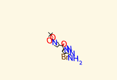 CC(C)(C)OC(=O)N1CCC(C(=O)c2cc(Br)c3c(N)ncnn23)C1